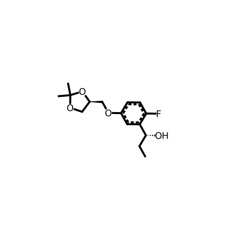 CC[C@@H](O)c1cc(OC[C@H]2COC(C)(C)O2)ccc1F